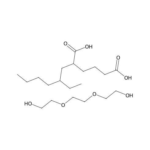 CCCCC(CC)CC(CCCC(=O)O)C(=O)O.OCCOCCOCCO